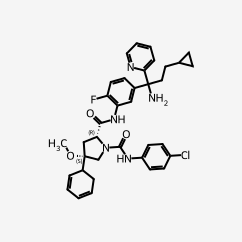 CO[C@]1(C2C=CC=CC2)C[C@H](C(=O)Nc2cc(C(N)(CCC3CC3)c3ccccn3)ccc2F)N(C(=O)Nc2ccc(Cl)cc2)C1